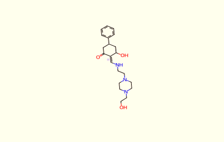 O=C1CC(c2ccccc2)CC(O)/C1=C\NCCN1CCN(CCO)CC1